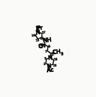 CC(=O)N1CCN(C(C)CCC(=O)N[C@@H]2CCN(C(C)C)C2)CC1